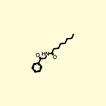 CCCCCCCC(=O)NCC(=O)c1ccccc1